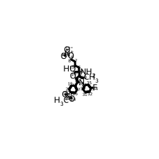 Cc1c([C@](N)(CCCCO[N+](=O)[O-])C(=O)O)cc(-c2ccc(S(C)(=O)=O)cc2)n1-c1cccc(F)c1